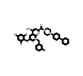 O=C(/C=C(/O)c1cc(Cc2c(F)cc(F)cc2F)cn(Cc2cccc(F)c2)c1=O)C(=O)N1CCN(c2ccc(-c3ccccc3)cc2)CC1